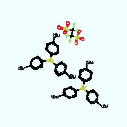 CC(C)(C)c1ccc([S+](c2ccc(C(C)(C)C)cc2)c2ccc(C(C)(C)C)cc2)cc1.CC(C)(C)c1ccc([S+](c2ccc(C(C)(C)C)cc2)c2ccc(C(C)(C)C)cc2)cc1.O=S(=O)([O-])C(F)(F)C(F)(F)S(=O)(=O)[O-]